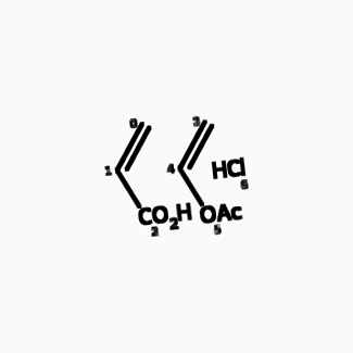 C=CC(=O)O.C=COC(C)=O.Cl